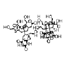 O=C(O)CC(CC(CC(CC(=O)O)SCCO)(C(=O)O)C(Cn1c(=O)[nH]c(=O)[nH]c1=O)SCCO)SCCO.O=C(O)CC(S)C(C(=O)O)(C(S)C(CCO)C(=O)O)C(CCO)(SCCO)n1c(=O)[nH]c(=O)[nH]c1=O